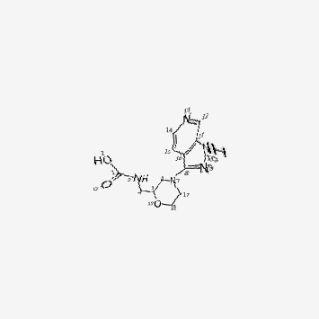 O=C(O)NCC1CN(c2n[nH]c3cnccc23)CCO1